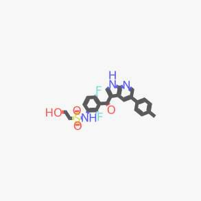 Cc1ccc(-c2cnc3[nH]cc(C(=O)c4c(F)ccc(NS(=O)(=O)CCO)c4F)c3c2)cc1